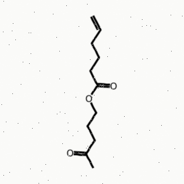 C=CCCCC(=O)OCCCC(C)=O